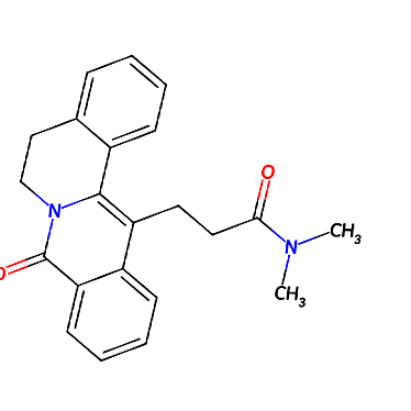 CN(C)C(=O)CCc1c2n(c(=O)c3ccccc13)CCc1ccccc1-2